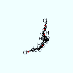 O=C(NCCCCC(NC(=O)c1ccc(C(=O)NCCOCCOCCCCCCCl)cc1)C(=O)ON1C(=O)CCC1=O)c1ccc(C(=O)NCCOCCOCCCCCCCl)cc1